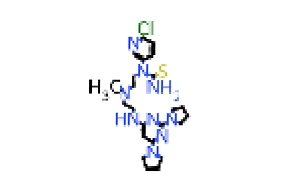 CN(CCNc1cc(N2CCCC2)nc(N2CCCC2)n1)CCN(C(N)=S)c1ccc(Cl)nc1